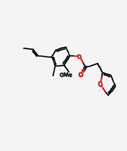 CC=Cc1ccc(OC(=O)Cc2ccco2)c(OC)c1C